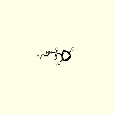 CCNS(=O)(=O)c1cc(O)ccc1C